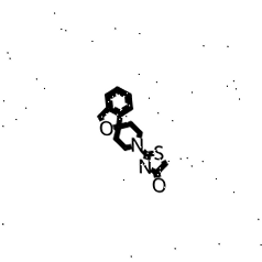 O=C1CSC(N2CCC3(CC2)OCc2ccccc23)=N1